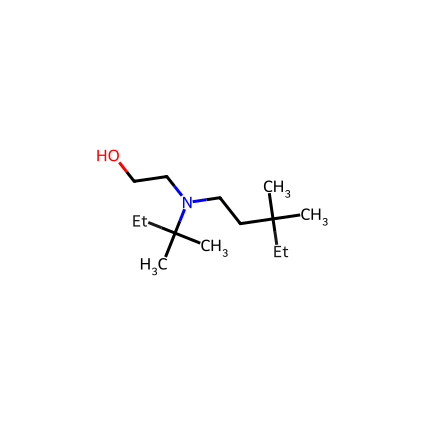 CCC(C)(C)CCN(CCO)C(C)(C)CC